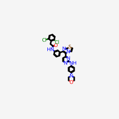 O=C(Cc1c(Cl)cccc1Cl)Nc1cccc(-c2nc3sccn3c2-c2ccnc(Nc3ccc(N4CCOCC4)cc3)n2)c1